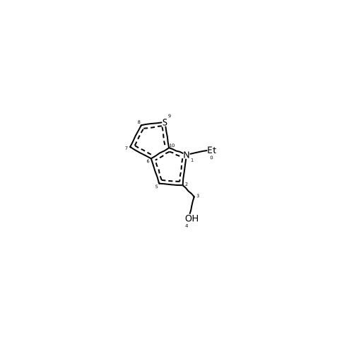 CCn1c(CO)cc2ccsc21